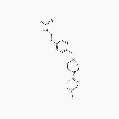 CC(=O)NCCc1ccc(CN2CCN(c3ccc(F)cc3)CC2)cc1